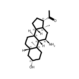 CC(=O)[C@H]1CC[C@H]2[C@@H]3CC[C@H]4C[C@@H](O)CC[C@]4(C)[C@H]3[C@H](N)C[C@]12C